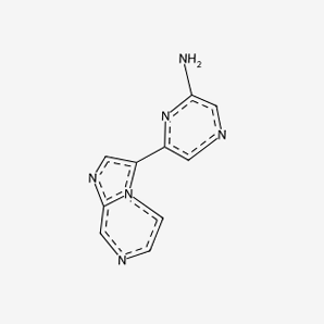 Nc1cncc(-c2cnc3cnccn23)n1